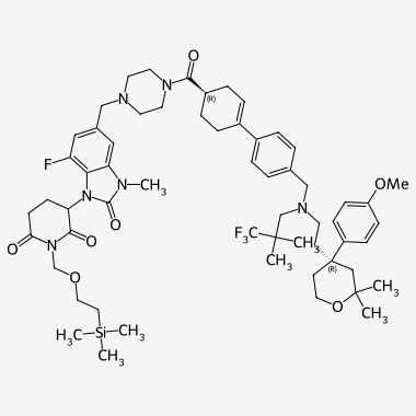 COc1ccc([C@]2(CCN(Cc3ccc(C4=CC[C@H](C(=O)N5CCN(Cc6cc(F)c7c(c6)n(C)c(=O)n7C6CCC(=O)N(COCC[Si](C)(C)C)C6=O)CC5)CC4)cc3)CC(C)(C)C(F)(F)F)CCOC(C)(C)C2)cc1